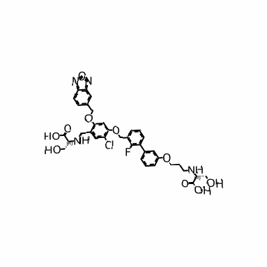 O=C(O)[C@@H](CO)NCCCOc1cccc(-c2cccc(COc3cc(OCc4ccc5nonc5c4)c(CN[C@H](CO)C(=O)O)cc3Cl)c2F)c1